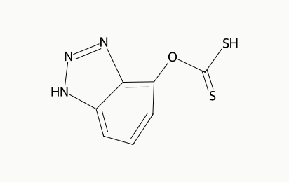 S=C(S)Oc1cccc2[nH]nnc12